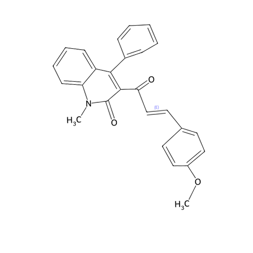 COc1ccc(/C=C/C(=O)c2c(-c3ccccc3)c3ccccc3n(C)c2=O)cc1